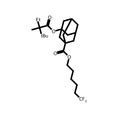 CCC(C)(C(=O)OC12CC3CC(C1)CC(C(=O)OCCCCCC(F)(F)F)(C3)C2)C(C)(C)C